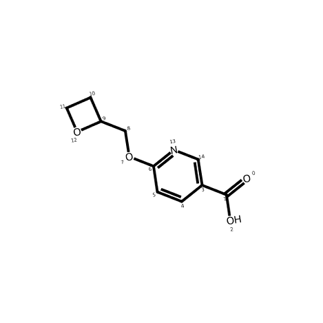 O=C(O)c1ccc(OCC2CCO2)nc1